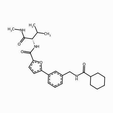 CNC(=O)[C@@H](NC(=O)c1ccc(-c2cccc(CNC(=O)C3CCCCC3)c2)o1)C(C)C